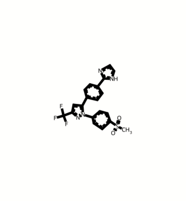 CS(=O)(=O)c1ccc(-n2nc(C(F)(F)F)cc2-c2ccc(-c3ncc[nH]3)cc2)cc1